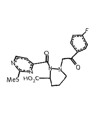 CSc1nccc(C(=O)N2C(C(=O)O)CCCN2CC(=O)c2ccc(F)cc2)n1